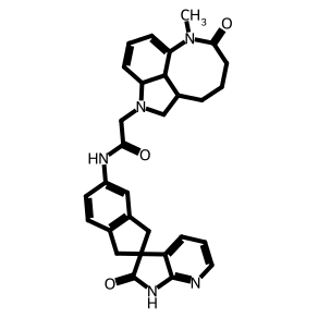 CN1C(=O)CCCC2CN(CC(=O)Nc3ccc4c(c3)CC3(C4)C(=O)Nc4ncccc43)C3C=CC=C1C23